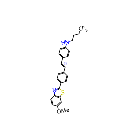 COc1ccc2nc(-c3ccc(/C=C/c4ccc(NCCCC(F)(F)F)cc4)cc3)sc2c1